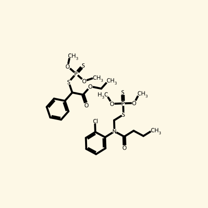 CCCC(=O)N(CSP(=S)(OC)OC)c1ccccc1Cl.CCOC(=O)C(SP(=S)(OC)OC)c1ccccc1